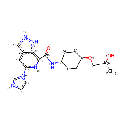 C[C@@H](O)CO[C@H]1CC[C@H](NC(=O)c2nc(-n3ccnc3)cc3cn[nH]c23)CC1